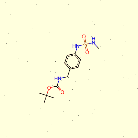 CNS(=O)(=O)Nc1ccc(CNC(=O)OC(C)(C)C)cc1